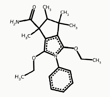 CCOc1c2c(c(OCC)n1-c1ccccc1)C(C)(C(N)=O)C(C)C2(C)C